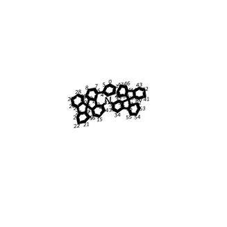 c1ccc2c(c1)-c1cccc3c1-c1c(cccc1C31c3ccccc3-c3ccccc31)N2c1ccc2c(c1)C1(c3ccccc3-c3ccccc31)c1ccccc1-2